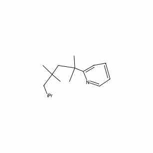 CC(C)CC(C)(C)CC(C)(C)c1ccccn1